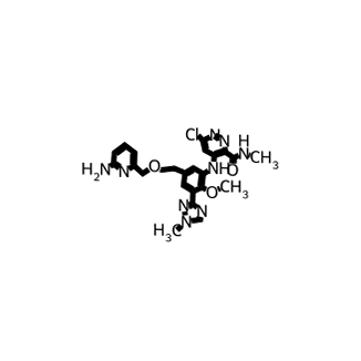 CNC(=O)c1nnc(Cl)cc1Nc1cc(CCOCc2cccc(N)n2)cc(-c2ncn(C)n2)c1OC